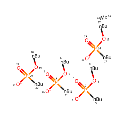 CCCCOP(=O)([O-])CCCC.CCCCOP(=O)([O-])CCCC.CCCCOP(=O)([O-])CCCC.CCCCOP(=O)([O-])CCCC.[Mo+4]